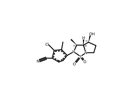 Cc1c(N2[C@@H](C)[C@@H]3[C@@H](O)CCN3S2(=O)=O)ccc(C#N)c1Cl